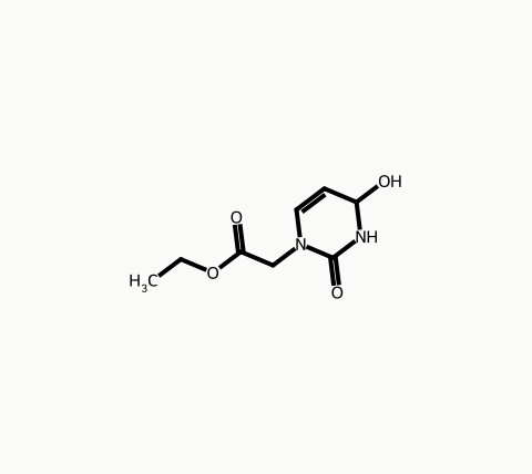 CCOC(=O)CN1C=CC(O)NC1=O